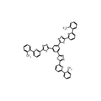 FC(F)(F)c1ccccc1-c1cccc(-c2nnc(-c3cc(-c4nnc(-c5cccc(-c6ccccc6C(F)(F)F)n5)s4)cc(-c4nnc(-c5cccc(-c6ccccc6C(F)(F)F)n5)s4)c3)s2)n1